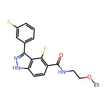 CCOCCNC(=O)c1ccc2[nH]nc(-c3cccc(F)c3)c2c1F